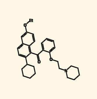 CCOc1ccc2c(C(=O)c3ccccc3OCCN3CCCCC3)c(C3CCCCC3)ccc2c1